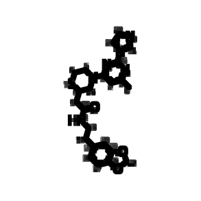 Cc1cc(N2CCSC(CC(=O)NCCc3ccc4c(c3)OCO4)C2)nc(-n2ccnc2)n1